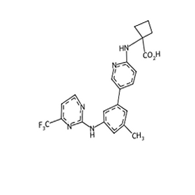 Cc1cc(Nc2nccc(C(F)(F)F)n2)cc(-c2ccc(NC3(C(=O)O)CCC3)nc2)c1